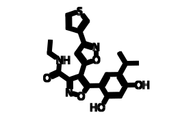 CCNC(=O)c1noc(-c2cc(C(C)C)c(O)cc2O)c1-c1cc(-c2ccsc2)no1